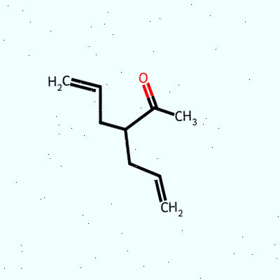 C=CCC(CC=C)C(C)=O